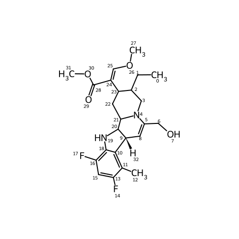 CCC1CN2C(CO)=C[C@@H]3c4c(C)c(F)cc(F)c4NC3C2CC1/C(=C\OC)C(=O)OC